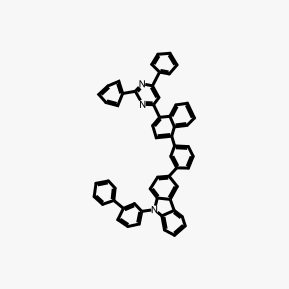 c1ccc(-c2cccc(-n3c4ccccc4c4cc(-c5cccc(-c6ccc(-c7cc(-c8ccccc8)nc(-c8ccccc8)n7)c7ccccc67)c5)ccc43)c2)cc1